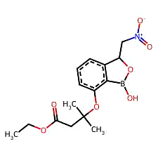 CCOC(=O)CC(C)(C)Oc1cccc2c1B(O)OC2C[N+](=O)[O-]